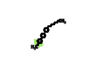 CCCCCCCC[C@H]1CC[C@H](C2CCC(c3cc(F)c(C(C)(F)F)c(F)c3)CC2)CC1